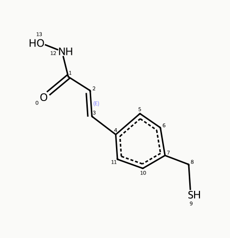 O=C(/C=C/c1ccc(CS)cc1)NO